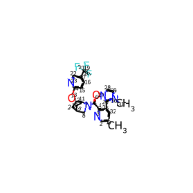 Cc1cnc(C(=O)N2CC3CC2[C@@H](Oc2ccc(C(F)(F)F)cn2)C3)c(-c2nccn2C)c1